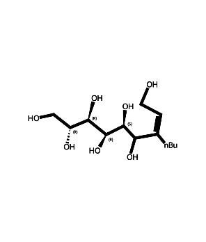 CCCCC(=CCO)C(O)[C@H](O)[C@@H](O)[C@H](O)[C@H](O)CO